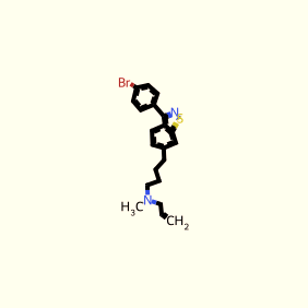 C=CCN(C)CCCCc1ccc2c(-c3ccc(Br)cc3)nsc2c1